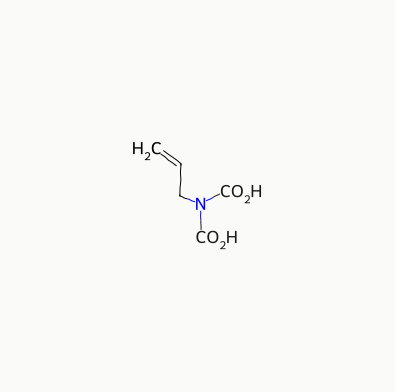 C=CCN(C(=O)O)C(=O)O